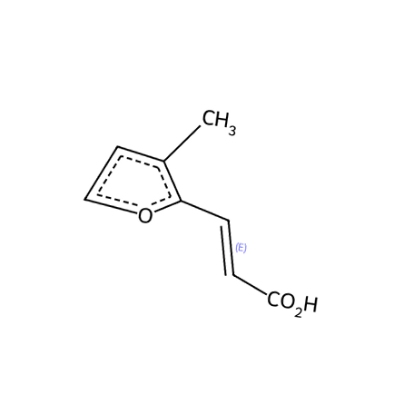 Cc1ccoc1/C=C/C(=O)O